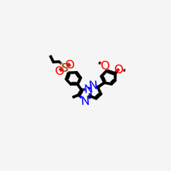 CCCS(=O)(=O)c1ccc(-c2c(C)nc3ccc(-c4ccc(OC)c(OC)c4)nn23)cc1